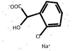 O=C([O-])C(O)c1ccccc1Cl.[Na+]